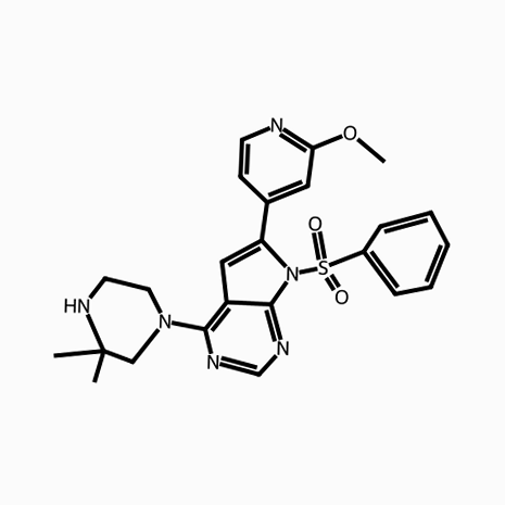 COc1cc(-c2cc3c(N4CCNC(C)(C)C4)ncnc3n2S(=O)(=O)c2ccccc2)ccn1